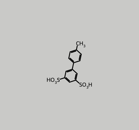 Cc1ccc(-c2cc(S(=O)(=O)O)cc(S(=O)(=O)O)c2)cc1